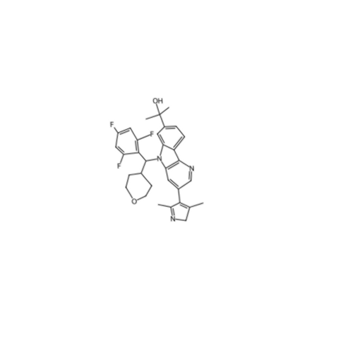 CC1=NCC(C)=C1c1cnc2c3ccc(C(C)(C)O)cc3n(C(c3c(F)cc(F)cc3F)C3CCOCC3)c2c1